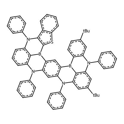 CC(C)(C)c1ccc2c(c1)N(c1ccccc1)c1cc(C(C)(C)C)cc3c1B2c1cc2c(cc1N3c1ccccc1)N(c1ccccc1)c1cccc3c1B2c1sc2ccccc2c1N3c1ccccc1